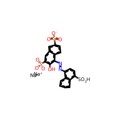 O=S(=O)([O-])c1ccc2c(/N=N/c3ccc(S(=O)(=O)O)c4ccccc34)c(O)c(S(=O)(=O)[O-])cc2c1.[Na+].[Na+]